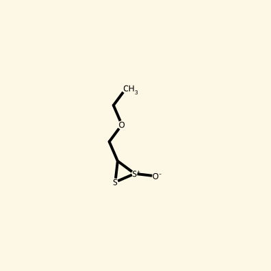 CCOCC1S[S+]1[O-]